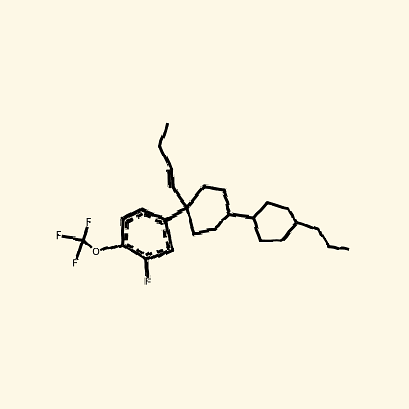 CCC=CC1(c2ccc(OC(F)(F)F)c(F)c2)CCC(C2CCC(CCC)CC2)CC1